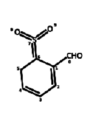 O=CC1=CC=CCC1=S(=O)=O